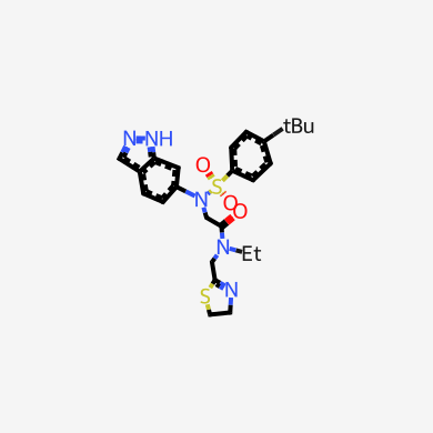 CCN(CC1=NCCS1)C(=O)CN(c1ccc2cn[nH]c2c1)S(=O)(=O)c1ccc(C(C)(C)C)cc1